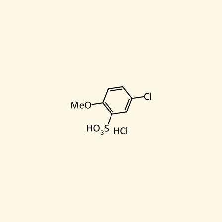 COc1ccc(Cl)cc1S(=O)(=O)O.Cl